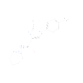 Cc1nc(C(=O)NN2CCCCC2)cn1-c1ccc([N+](=O)[O-])cc1